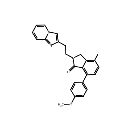 COc1ccc(-c2ccc(F)c3c2C(=O)N(CCc2cn4ccccc4n2)C3)cc1